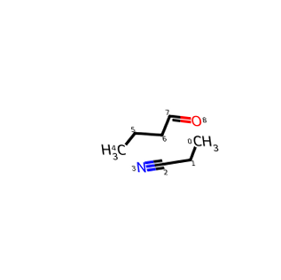 CCC#N.CCCC=O